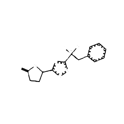 C[C@@](N)(Cc1ccccc1)c1nnc(C2CCC(=O)N2)o1